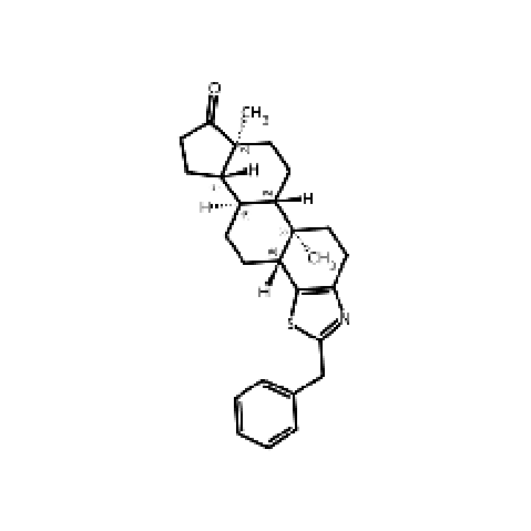 C[C@]12CCc3nc(Cc4ccccc4)sc3[C@@H]1CC[C@@H]1[C@@H]2CC[C@]2(C)C(=O)CC[C@@H]12